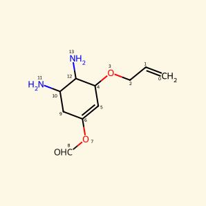 C=CCOC1C=C(OC=O)CC(N)C1N